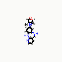 c1cnc2c(c1)CNc1cc(N3CC4C[C@H]3CO4)ccc1N2